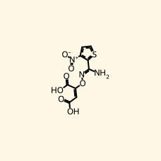 NC(=NOC(=CC(=O)O)C(=O)O)c1sccc1[N+](=O)[O-]